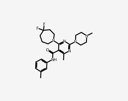 Cc1cccc(NC(=O)c2c(C)nc(N3CCN(C)CC3)nc2N2CCCC(F)(F)CC2)c1